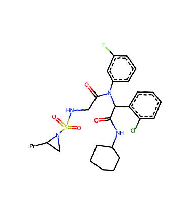 CC(C)C1CN1S(=O)(=O)NCC(=O)N(c1cccc(F)c1)C(C(=O)NC1CCCCC1)c1ccccc1Cl